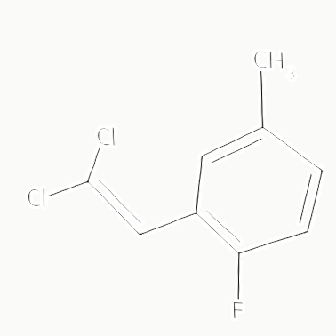 Cc1ccc(F)c(C=C(Cl)Cl)c1